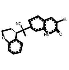 CCc1cc2ccc([C@@](C)(C#N)[C@H]3CCOc4ccccc43)cc2[nH]c1=O